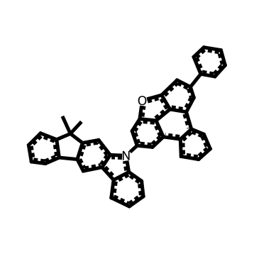 CC1(C)c2ccccc2-c2cc3c4ccccc4n(-c4cc5oc6cc(-c7ccccc7)cc7c8ccccc8c(c4)c5c67)c3cc21